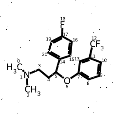 CN(C)CCC(Oc1cccc(C(F)(F)F)c1)c1ccc(F)cc1